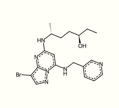 CC[C@@H](O)CC[C@@H](C)Nc1cc(NCc2cccnc2)n2ncc(Br)c2n1